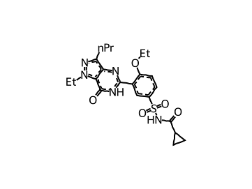 CCCc1nn(CC)c2c(=O)[nH]c(-c3cc(S(=O)(=O)NC(=O)C4CC4)ccc3OCC)nc12